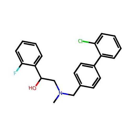 CN(Cc1ccc(-c2ccccc2Cl)cc1)CC(O)c1ccccc1F